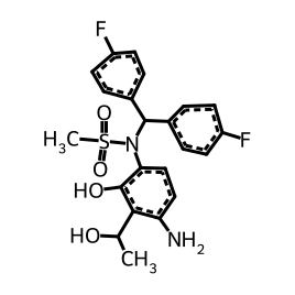 CC(O)c1c(N)ccc(N(C(c2ccc(F)cc2)c2ccc(F)cc2)S(C)(=O)=O)c1O